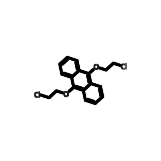 ClCCOc1c2ccccc2c(OCCCl)c2ccccc12